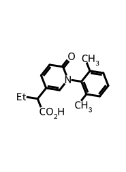 CCC(C(=O)O)c1ccc(=O)n(-c2c(C)cccc2C)c1